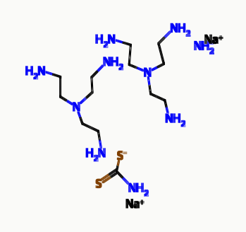 NC(=S)[S-].NCCN(CCN)CCN.NCCN(CCN)CCN.[NH2-].[Na+].[Na+]